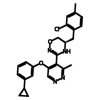 Cc1ccc(C[C@@H]2CON=C(c3c(Oc4cccc(C5CC5)c4)cnnc3C)N2)c(Cl)c1